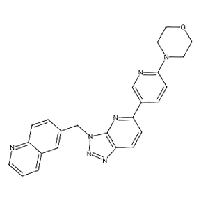 c1cnc2ccc(Cn3nnc4ccc(-c5ccc(N6CCOCC6)nc5)nc43)cc2c1